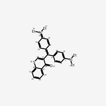 CCN(CC)c1ccc(C(=C2C=CC(=[N+](CC)CC)C=C2)c2csc3ccccc3c2=O)cc1